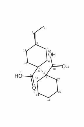 CC[C@H]1CC[C@](C(=O)O)(C2(C(=O)O)CCCCC2)CC1